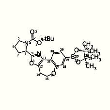 CC(C)(C)OC(=O)N1CCCC1c1nc2c(o1)CCOc1cc(B3OC(C)(C)C(C)(C)O3)ccc1-2